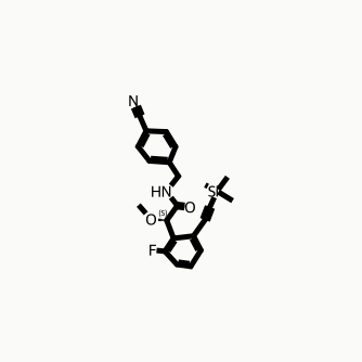 CO[C@H](C(=O)NCc1ccc(C#N)cc1)c1c(F)cccc1C#C[Si](C)(C)C